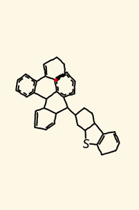 C1=CC2C(c3ccccc3C3=CCCC=C3)c3ccccc3C(C3CCC4C5=C(CCC=C5)SC4C3)C2C=C1